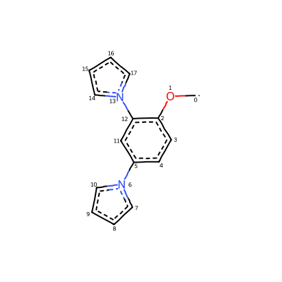 [CH2]Oc1ccc(-n2cccc2)cc1-n1cccc1